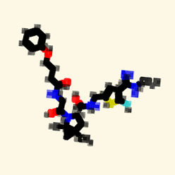 C[C@@]12C[C@@H]1N(C(=O)CNC(=O)CCCOc1ccccc1)[C@H](C(=O)NCc1cc(C(=N)NC(=O)O)c(F)s1)C2